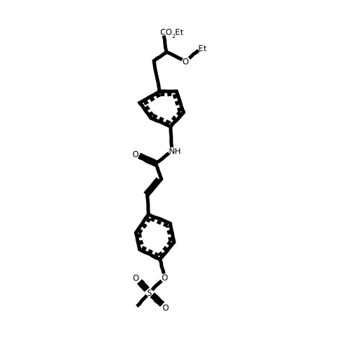 CCOC(=O)C(Cc1ccc(NC(=O)/C=C/c2ccc(OS(C)(=O)=O)cc2)cc1)OCC